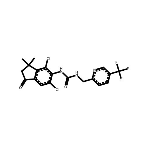 CC1(C)CC(=O)c2cc(Cl)c(NC(=O)NCc3ccc(C(F)(F)F)cn3)c(Cl)c21